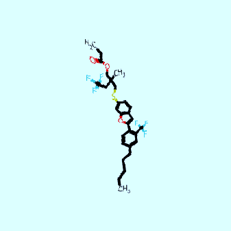 C=CC(=O)OCC(C)(CSc1ccc2cc(-c3ccc(CCCCC)cc3C(F)(F)F)oc2c1)CC(F)(F)F